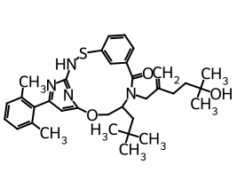 C=C(CCC(C)(C)O)CN1C(=O)c2cccc(c2)SNc2nc(cc(-c3c(C)cccc3C)n2)OCC1CC(C)(C)C